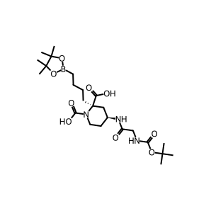 CC(C)(C)OC(=O)NCC(=O)N[C@H]1CCN(C(=O)O)[C@@](CCCCB2OC(C)(C)C(C)(C)O2)(C(=O)O)C1